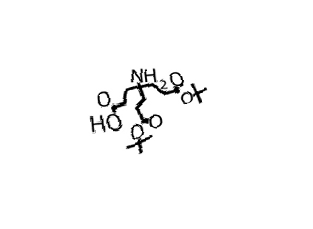 CC(C)(C)OC(=O)CCC(N)(CCC(=O)O)CCC(=O)OC(C)(C)C